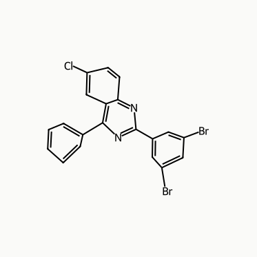 Clc1ccc2nc(-c3cc(Br)cc(Br)c3)nc(-c3ccccc3)c2c1